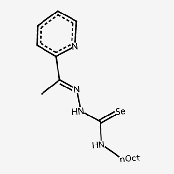 CCCCCCCCNC(=[Se])NN=C(C)c1ccccn1